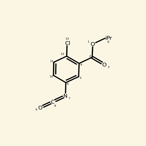 CC(C)OC(=O)c1cc(N=C=O)ccc1Cl